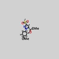 COC(=O)c1cc(S(C)(=O)=O)nn1-c1ccc(OC)cc1